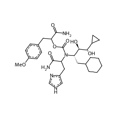 COc1ccc(CC(OC(=O)N(C(Cc2c[nH]cn2)C(N)=O)[C@@H](CC2CCCCC2)[C@@H](O)[C@@H](O)C2CC2)C(N)=O)cc1